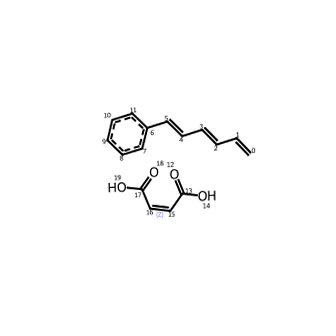 C=CC=CC=Cc1ccccc1.O=C(O)/C=C\C(=O)O